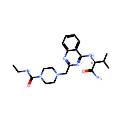 CCNC(=O)N1CCN(Cc2nc(N[C@H](C(N)=O)C(C)C)c3ccccc3n2)CC1